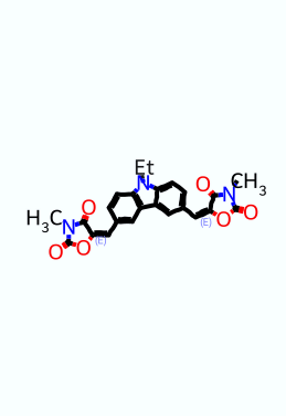 CCn1c2ccc(/C=C3/OC(=O)N(C)C3=O)cc2c2cc(/C=C3/OC(=O)N(C)C3=O)ccc21